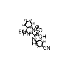 CC[C@@H](NC1=NS(=O)(=O)N=C1Nc1ccc(C#N)cc1O)c1ccccc1